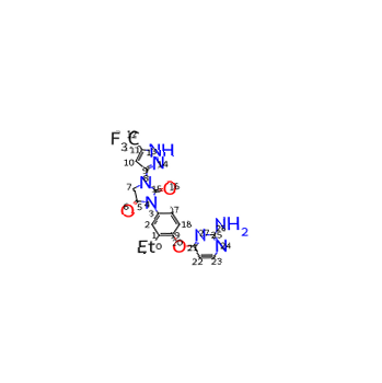 CCc1cc(N2C(=O)CN(c3cc(C(F)(F)F)[nH]n3)C2=O)ccc1Oc1ccnc(N)n1